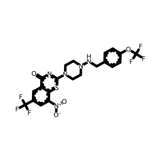 O=c1nc(N2CCN(NCc3ccc(OC(F)(F)F)cc3)CC2)sc2c([N+](=O)[O-])cc(C(F)(F)F)cc12